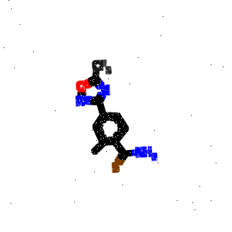 Cc1cc(-c2noc(C(F)(F)F)n2)ccc1C(N)=S